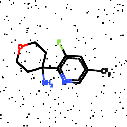 NC1(c2ncc(C(F)(F)F)cc2F)CCOCC1